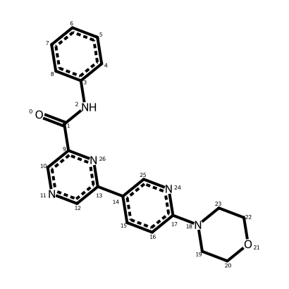 O=C(Nc1ccccc1)c1cncc(-c2ccc(N3CCOCC3)nc2)n1